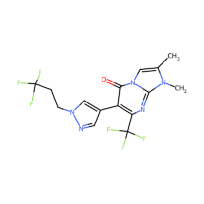 Cc1cn2c(=O)c(-c3cnn(CCC(F)(F)F)c3)c(C(F)(F)F)nc2n1C